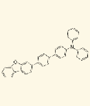 c1ccc(N(c2ccccc2)c2ccc(-c3ccc(-c4ccc5c(c4)oc4ccccc45)cc3)cc2)cc1